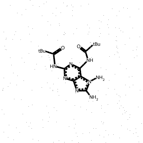 CC(C)(C)C(=O)Nc1nc(NC(=O)C(C)(C)C)c2c(n1)nc(N)n2N